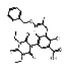 CCn1c(=S)n(CC)c(=O)n(-c2cc(C(=O)O)c(Cl)c(CC(C)=NOCc3ccccc3)c2F)c1=O